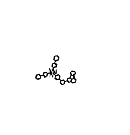 c1ccc(-c2ccc(-c3nc(-c4ccc(-c5ccccc5)cc4)nc(-c4ccc(-c5cccc(-c6cc7c8c(cccc8c6)-c6ccccc6-7)c5)cc4)n3)cc2)cc1